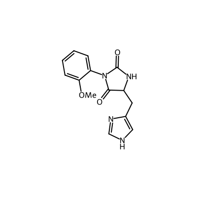 COc1ccccc1N1C(=O)NC(Cc2c[nH]cn2)C1=O